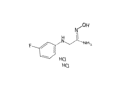 Cl.Cl.NC(CNc1cccc(F)c1)=NO